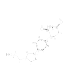 O=C(O)C[C@H]1CCN(c2ccc(C3CCC(=O)NC3=O)cn2)C1